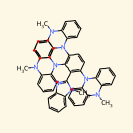 CN1c2ccccc2N(c2ccc(N3c4ccccc4N(C)c4ccccc43)c(N3c4ccccc4N(C)c4ccccc43)c2-c2nc3ccccc3n2C)c2ccccc21